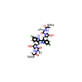 CCC[C@H](NC(=O)[C@H](C)NC)C(=O)N1C[C@@H](O)C[C@H]1Cc1c(-c2[nH]c3cc(F)ccc3c2C[C@@H]2C[C@H](O)CN2C(=O)[C@H](CC)NC(=O)[C@H](C)NC)[nH]c2cc(F)ccc12